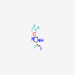 F/C(=C\I)C1C=NC(OCC(F)(F)F)=CN1